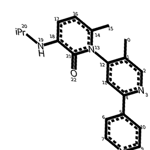 Cc1cnc(-c2ccncc2)cc1-n1c(C)ccc(NC(C)C)c1=O